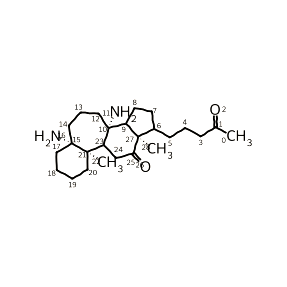 CC(=O)CCCC1CCC2[C@]3(N)CCC[C@]4(N)CCCC[C@]4(C)C3CC(=O)[C@]12C